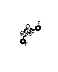 O=C1CC(=O)N(C[C@@H](F)c2cccc(F)c2)C(=O)N1C[C@@H](F)c1cccc(F)c1